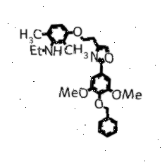 CCNc1c(C)ccc(OCCc2coc(-c3cc(OC)c(OCc4ccccc4)c(OC)c3)n2)c1C